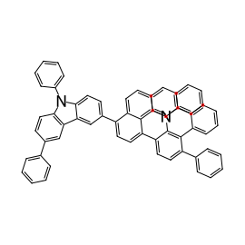 c1ccc(-c2ccc3c(c2)c2cc(-c4ccc5c6c(cccc46)N(c4ccccc4)c4c-5ccc(-c5ccccc5)c4-c4ccccc4-c4ccccc4)ccc2n3-c2ccccc2)cc1